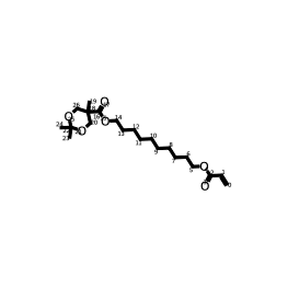 C=CC(=O)OCCCCCCCCCCOC(=O)C1(C)COC(C)(C)OC1